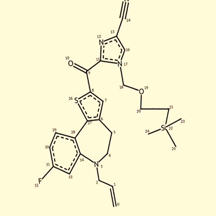 C=CCN1CCc2cc(C(=O)c3nc(C#N)cn3COCC[Si](C)(C)C)sc2-c2ccc(F)cc21